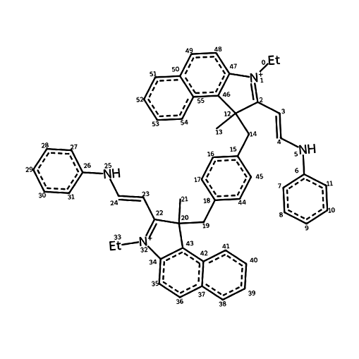 CC[N+]1=C(C=CNc2ccccc2)C(C)(Cc2ccc(CC3(C)C(C=CNc4ccccc4)=[N+](CC)c4ccc5ccccc5c43)cc2)c2c1ccc1ccccc21